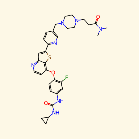 CN(C)C(=O)CCN1CCN(Cc2ccc(-c3cc4nccc(Oc5ccc(NC(=O)NC6CC6)cc5F)c4s3)nc2)CC1